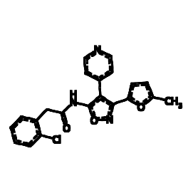 Cc1ccc(-c2noc(NC(=O)Cc3ccccc3Cl)c2-c2ccncc2)o1